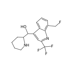 OC(c1cc(C(F)(F)F)nc2c(CF)cccc12)C1CCCCN1